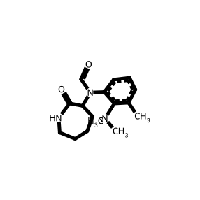 Cc1cccc(N(C=O)C2CCCCNC2=O)c1N(C)C